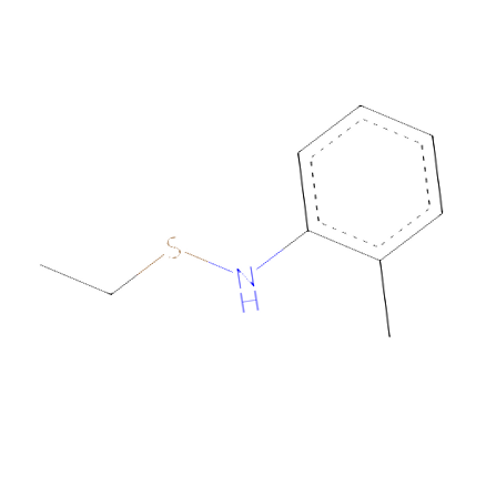 CCSNc1ccccc1C